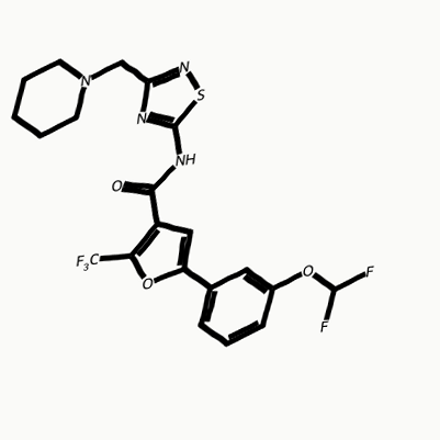 O=C(Nc1nc(CN2CCCCC2)ns1)c1cc(-c2cccc(OC(F)F)c2)oc1C(F)(F)F